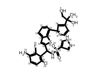 CC(O)(CO)c1ccnc(-c2cccc3cc(C(NS(=O)(=O)c4cn[nH]c4)c4c(Cl)ccc(N)c4F)sc23)c1